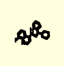 Fc1cccc2c(NCC(c3ccccc3)C3CCCCC3)ccnc12